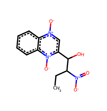 CCC(C(O)c1c[n+]([O-])c2ccccc2[n+]1[O-])[N+](=O)[O-]